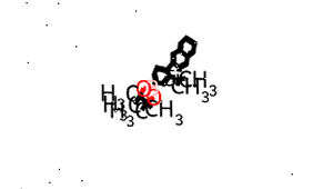 CC1(C)OB(c2ccc3c(c2)[Si](C)(C)c2cc4ccccc4cc2-3)OC1(C)C